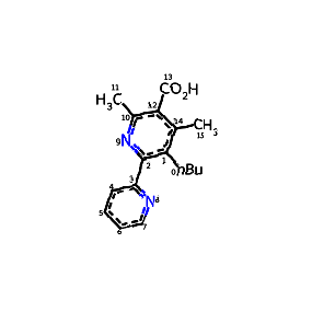 CCCCc1c(-c2ccccn2)nc(C)c(C(=O)O)c1C